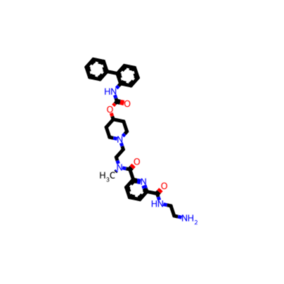 CN(CCN1CCC(OC(=O)Nc2ccccc2-c2ccccc2)CC1)C(=O)c1cccc(C(=O)NCCN)n1